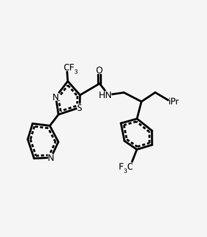 CC(C)CC(CNC(=O)c1sc(-c2cccnc2)nc1C(F)(F)F)c1ccc(C(F)(F)F)cc1